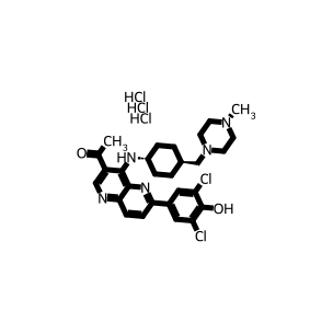 CC(=O)c1cnc2ccc(-c3cc(Cl)c(O)c(Cl)c3)nc2c1N[C@H]1CC[C@H](CN2CCN(C)CC2)CC1.Cl.Cl.Cl